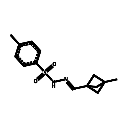 Cc1ccc(S(=O)(=O)NN=CC23CC(C)(C2)C3)cc1